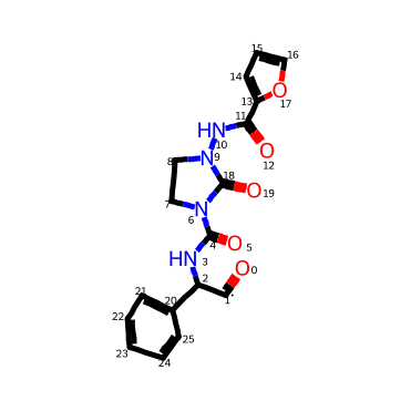 O=[C]C(NC(=O)N1CCN(NC(=O)c2ccco2)C1=O)c1ccccc1